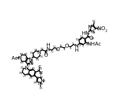 CC(=O)Nc1cc(NCCOCCOCCNC(=O)CN2CCC(n3nc(N4CCCc5cc(-c6cnn(C)c6)c(C(F)F)cc54)c4c3CCN(C(C)=O)C4)CC2)ccc1C(=O)Nc1nc(C)c([N+](=O)[O-])s1